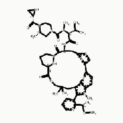 CO[C@@H](C)c1ncccc1-c1c2c3cc(ccc3n1C)-c1csc(n1)C[C@H](NC(=O)[C@H](C(C)C)N(C)C(=O)N1CCN(C(=O)[C@@H]3CN3)[C@@H](C)C1)C(=O)N1CCC[C@H](N1)C(=O)OCC(C)(C)C2